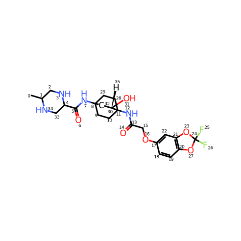 CC1CNC(C(=O)NC23CCC(NC(=O)COc4ccc5c(c4)OC(F)(F)O5)(CC2)[C@@H](O)C3)CN1